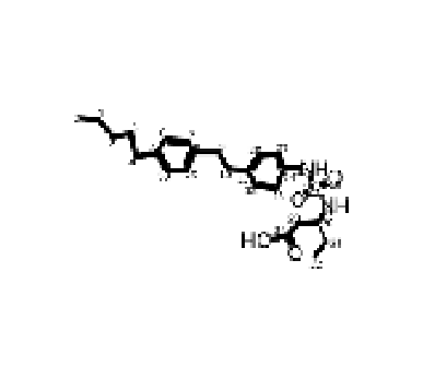 CCCCCc1ccc(CCc2ccc(NS(=O)(=O)N[C@@H](CC)CC(=O)O)cc2)cc1